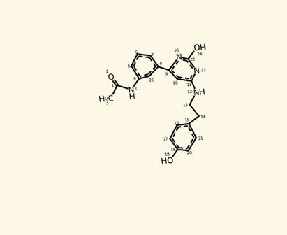 CC(=O)Nc1cccc(-c2cc(NCCc3ccc(O)cc3)nc(O)n2)c1